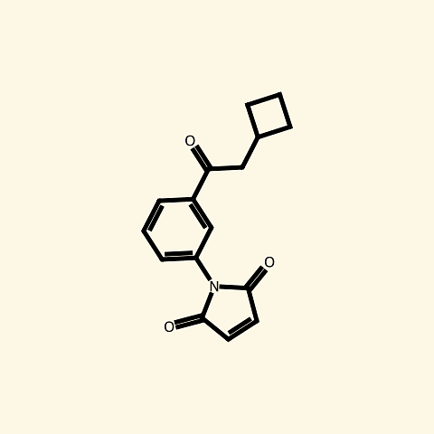 O=C(CC1CCC1)c1cccc(N2C(=O)C=CC2=O)c1